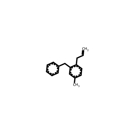 C=CCc1ccc(C)cc1Cc1ccccc1